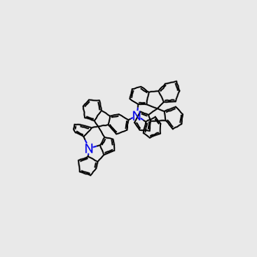 c1ccc(N(c2ccc3c(c2)-c2ccccc2C32c3ccccc3-n3c4ccccc4c4cccc2c43)c2cccc3c2C2(c4ccccc4-c4ccccc42)c2ccccc2-3)cc1